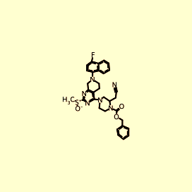 C[S+]([O-])c1nc2c(c(N3CCN(C(=O)OCc4ccccc4)C(CC#N)C3)n1)CCN(c1ccc(F)c3ccccc13)C2